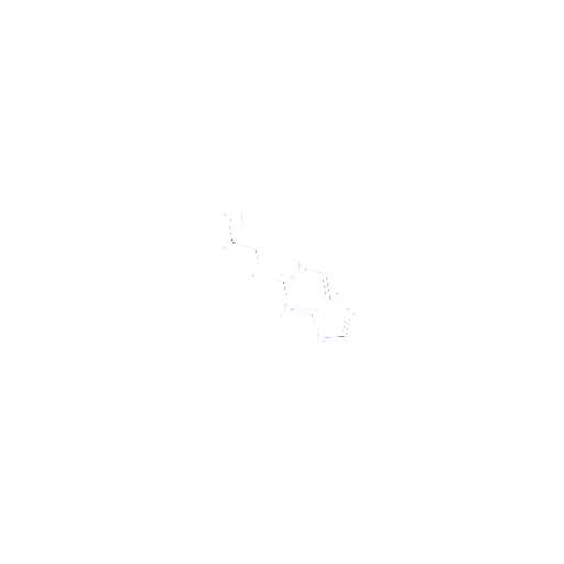 NC(=O)CSc1ncc2nc[nH]c2n1